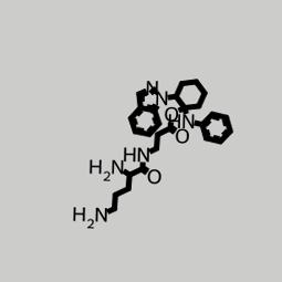 NCCCC(N)C(=O)NCCC(=O)OC1(Nc2ccccc2)CCCCC1n1ncc2ccccc21